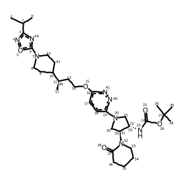 CC(C)c1noc(N2CCC([C@H](C)CCOc3ccc(N4C[C@H](NC(=O)OC(C)(C)C)[C@@H](N5CCCCC5=O)C4)nn3)CC2)n1